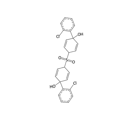 O=S(=O)(C1C=CC(O)(c2ccccc2Cl)C=C1)C1C=CC(O)(c2ccccc2Cl)C=C1